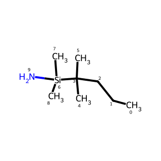 CCCC(C)(C)[Si](C)(C)N